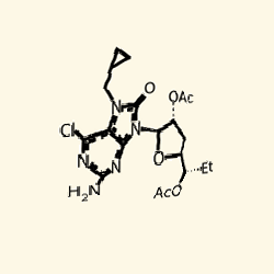 CC[C@H](OC(C)=O)[C@@H]1C[C@@H](OC(C)=O)[C@H](n2c(=O)n(CC3CC3)c3c(Cl)nc(N)nc32)O1